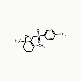 CC1=C(CS(=O)(=O)c2ccc(C)cc2)C(C)(C)CCC1